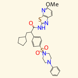 COc1ccc2nc(NC(=O)C(CC3CCCC3)c3ccc(S(=O)(=O)N4CCN(c5ccccc5)CC4)cc3)sc2n1